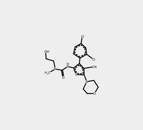 CN(CCO)C(=O)Nc1sc(N2CCOCC2)c(C#N)c1-c1ccc(Cl)cc1Cl